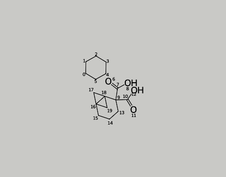 C1CCCCC1.O=C(O)C1(C(=O)O)CCCC23CC21C3